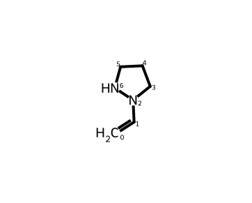 C=CN1CCCN1